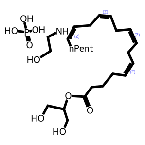 CCCCC/C=C\C/C=C\C/C=C\C/C=C\CCCC(=O)OC(CO)CO.NCCO.O=P(O)(O)O